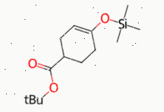 CC(C)(C)OC(=O)C1CC=C(O[Si](C)(C)C)CC1